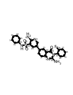 Nc1ncc(-c2ccc3nc(N)n(-c4ccccc4F)c(=O)c3c2)cc1S(=O)(=O)Nc1ccccc1